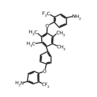 Cc1c(C)c(-c2ccc(Oc3ccc(N)cc3C(F)(F)F)cc2)c(C)c(C)c1Oc1ccc(N)cc1C(F)(F)F